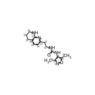 Cc1noc(C)c1NC(=O)NCCc1ccc2c(n1)NCCC2